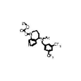 CC(=O)N(Cc1cc(C(F)(F)F)cc(C(F)(F)F)c1)C1CCCN(OC(=O)OC(C)C)c2cnccc21